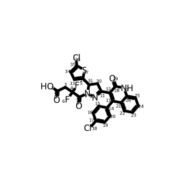 O=C(O)CC(F)(F)C(=O)N1N=C(c2c(-c3ccc(Cl)cc3)c3ccccc3[nH]c2=O)CC1c1ccc(Cl)s1